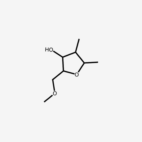 COCC1OC(C)C(C)C1O